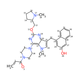 C=CC(=O)N1CCN(c2nc(OCC3CCCN3C)nc3c(Cc4cc(O)cc5ccccc45)cn(C)c23)CC1